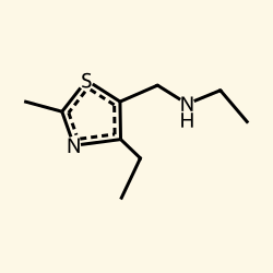 CCNCc1sc(C)nc1CC